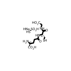 N[C@@H](CCC(=O)N[C@@H](CS)C(=O)NCC(=O)O)C(=O)O.O=S(=O)(O)S.[NaH]